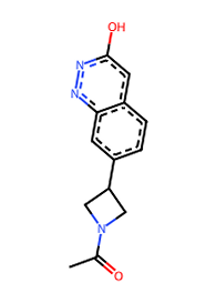 CC(=O)N1CC(c2ccc3cc(O)nnc3c2)C1